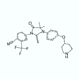 CC1(C)C(=O)N(c2ccc(C#N)c(C(F)(F)F)c2)C(=S)N1c1ccc(OC2CCNCC2)cc1